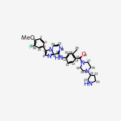 COc1ccc(-c2cnc3c(Nc4ccc(C(=O)N5CCN(C6CCNC6)CC5)c(C)c4)nccn23)cc1F